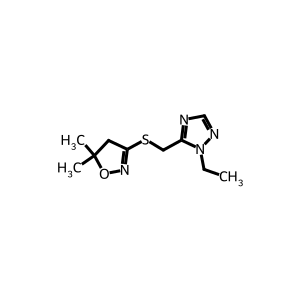 CCn1ncnc1CSC1=NOC(C)(C)C1